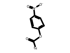 [3H]C(=O)Oc1ccc([N+](=O)[O-])cc1